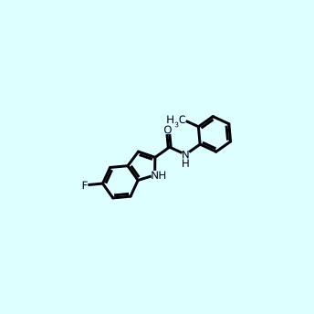 Cc1ccccc1NC(=O)c1cc2cc(F)ccc2[nH]1